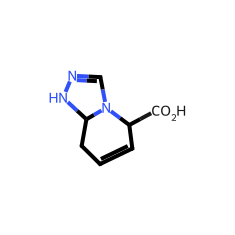 O=C(O)C1C=CCC2NN=CN21